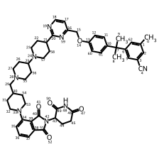 Cc1cc(C#N)cc(C(C)(C)c2ccc(OCc3ccnc(C4CCN(C5CCN(CC6CCN(c7cccc8c7C(=O)N(C7CCC(=O)NC7=O)C8=O)CC6)CC5)CC4)n3)cc2)c1